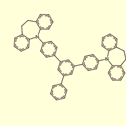 c1ccc(-c2cc(-c3ccc(N4c5ccccc5CCc5ccccc54)cc3)cc(-c3ccc(N4c5ccccc5CCc5ccccc54)cc3)c2)cc1